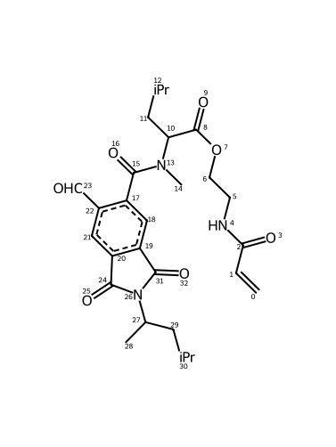 C=CC(=O)NCCOC(=O)C(CC(C)C)N(C)C(=O)c1cc2c(cc1C=O)C(=O)N(C(C)CC(C)C)C2=O